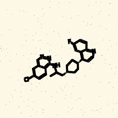 CC(C[C@H]1CC[C@@H](c2ccnc3ccc(F)cc32)CC1)Nc1nncc2cc(Cl)ccc12